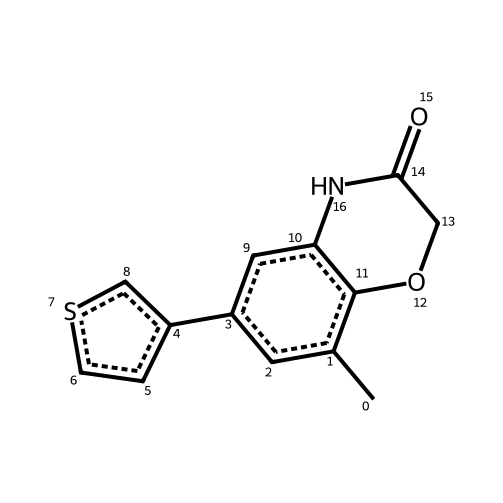 Cc1cc(-c2ccsc2)cc2c1OCC(=O)N2